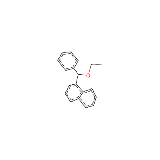 CCOC(c1ccccc1)c1cccc2ccccc12